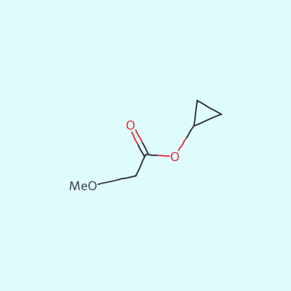 COCC(=O)OC1CC1